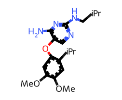 COc1cc(Oc2cnc(NCC(C)C)nc2N)c(C(C)C)cc1OC